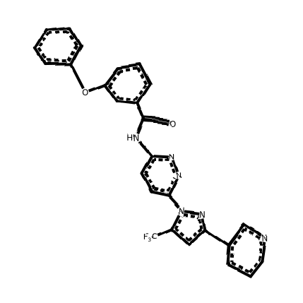 O=C(Nc1ccc(-n2nc(-c3cccnc3)cc2C(F)(F)F)nn1)c1cccc(Oc2ccccc2)c1